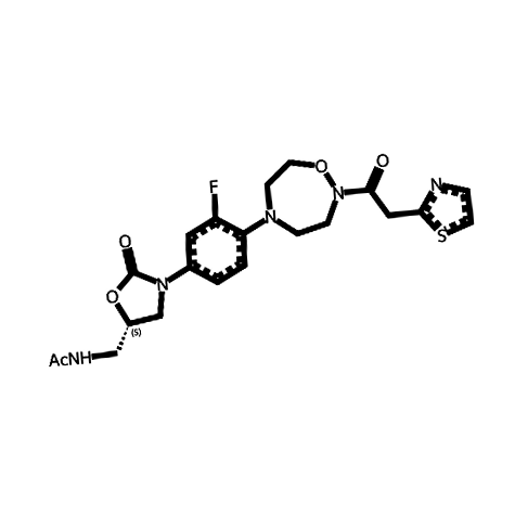 CC(=O)NC[C@H]1CN(c2ccc(N3CCON(C(=O)Cc4nccs4)CC3)c(F)c2)C(=O)O1